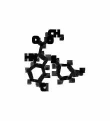 COC(=O)c1[nH]c2ccc(Cl)cc2c1Sc1cccc(F)c1